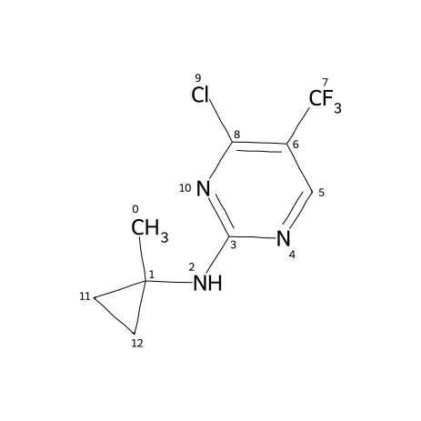 CC1(Nc2ncc(C(F)(F)F)c(Cl)n2)CC1